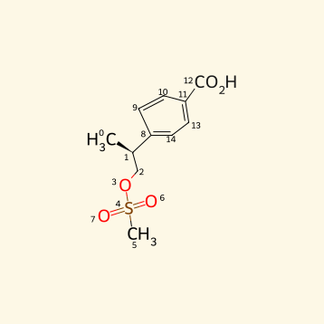 C[C@H](COS(C)(=O)=O)c1ccc(C(=O)O)cc1